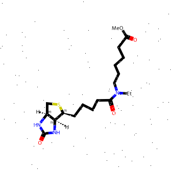 CCN(CCCCCC(=O)OC)C(=O)CCCC[C@@H]1SC[C@@H]2NC(=O)N[C@@H]21